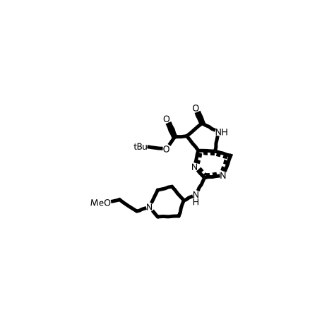 COCCN1CCC(Nc2ncc3c(n2)C(C(=O)OC(C)(C)C)C(=O)N3)CC1